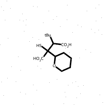 CC(C)(C)C(C(=O)O)C(S)(C(=O)O)C1CCCCO1